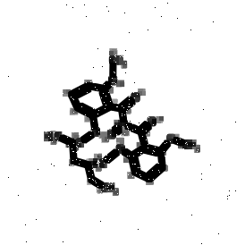 CCCCCC.COc1cccc(OC)c1C(=O)[PH](=O)C(=O)c1c(OC)cccc1OC